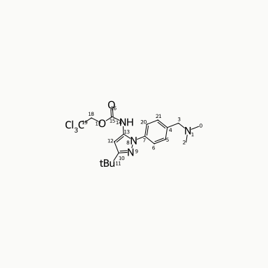 CN(C)Cc1ccc(-n2nc(C(C)(C)C)cc2NC(=O)OCC(Cl)(Cl)Cl)cc1